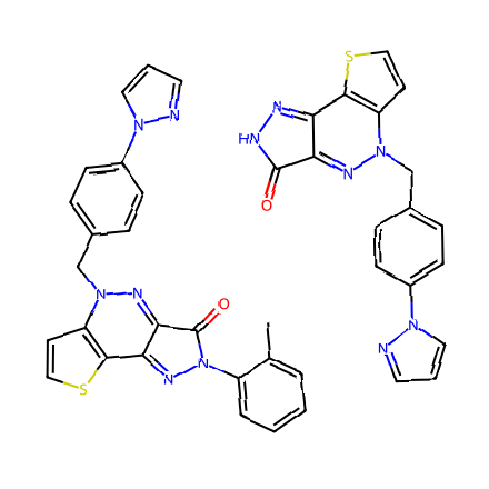 Cc1ccccc1-n1nc2c3sccc3n(Cc3ccc(-n4cccn4)cc3)nc-2c1=O.O=c1[nH]nc2c3sccc3n(Cc3ccc(-n4cccn4)cc3)nc1-2